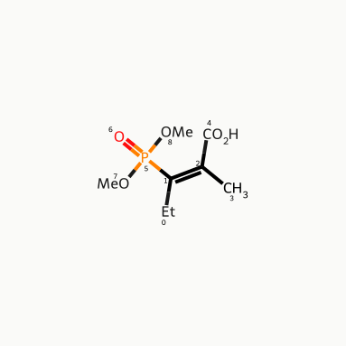 CCC(=C(C)C(=O)O)P(=O)(OC)OC